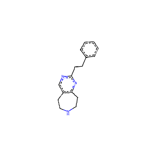 c1ccc(CCc2ncc3c(n2)CCNCC3)cc1